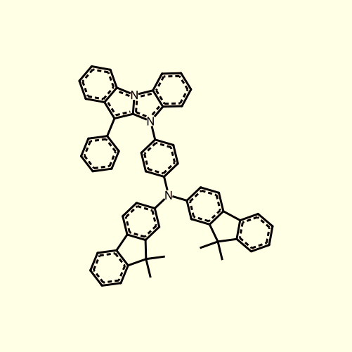 CC1(C)c2ccccc2-c2ccc(N(c3ccc(-n4c5ccccc5n5c6ccccc6c(-c6ccccc6)c45)cc3)c3ccc4c(c3)C(C)(C)c3ccccc3-4)cc21